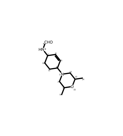 CC1CN(C2C=CC(NC=O)CC2)CC(C)O1